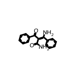 NC(=O)C(C(=O)c1ccccc1)=C(N)c1ccccc1